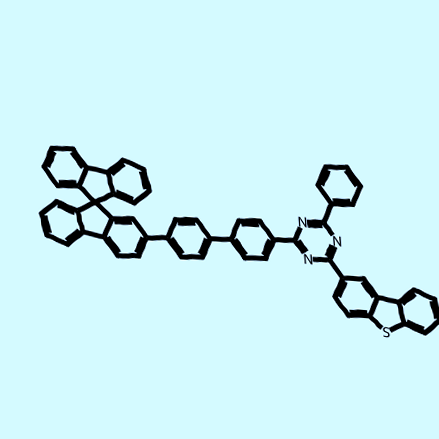 c1ccc(-c2nc(-c3ccc(-c4ccc(-c5ccc6c(c5)C5(c7ccccc7-c7ccccc75)c5ccccc5-6)cc4)cc3)nc(-c3ccc4sc5ccccc5c4c3)n2)cc1